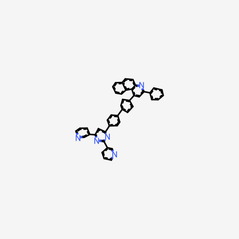 c1ccc(-c2cc(-c3ccc(-c4ccc(-c5cc(-c6cccnc6)nc(-c6cccnc6)n5)cc4)cc3)c3c(ccc4ccccc43)n2)cc1